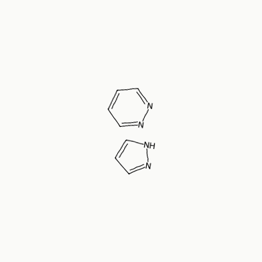 c1ccnnc1.c1cn[nH]c1